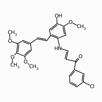 COc1cc(NC=CC(=O)c2cccc(Cl)c2)c(C=Cc2cc(OC)c(OC)c(OC)c2)cc1O